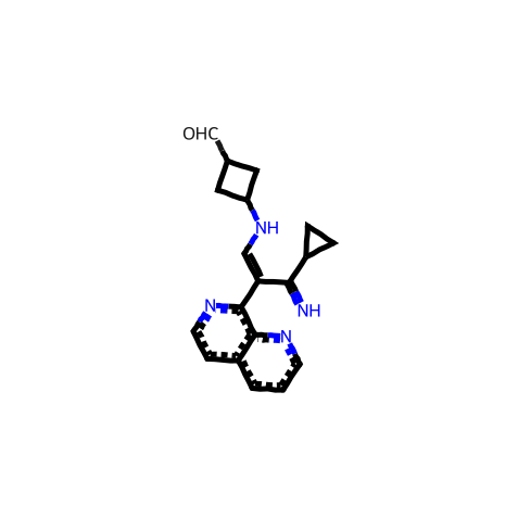 N=C(/C(=C\NC1CC(C=O)C1)c1nccc2cccnc12)C1CC1